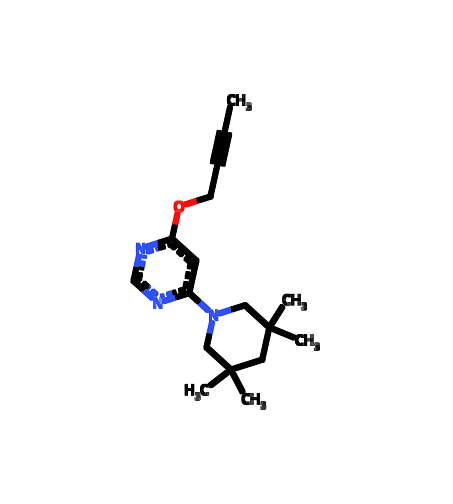 CC#CCOc1cc(N2CC(C)(C)CC(C)(C)C2)ncn1